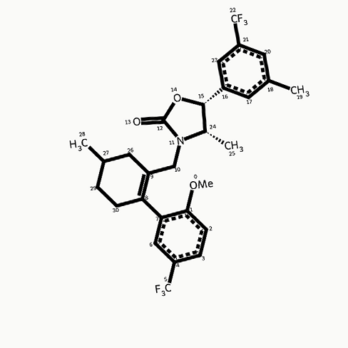 COc1ccc(C(F)(F)F)cc1C1=C(CN2C(=O)O[C@H](c3cc(C)cc(C(F)(F)F)c3)[C@@H]2C)CC(C)CC1